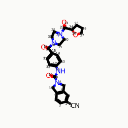 N#Cc1ccc2c(c1)CN(C(=O)Nc1ccc(C(=O)N3CCN(C(=O)C4CCCO4)CC3)cc1)C2